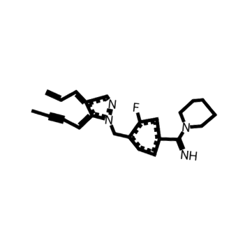 C=C/C=c1/cnn(Cc2ccc(C(=N)N3CCCCC3)cc2F)/c1=C/C#CC